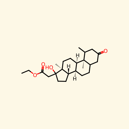 CCOC(=O)CC1(O)CC[C@H]2[C@@H]3CCC4CC(=O)CC(C)[C@]4(C)[C@@H]3CC[C@@]21C